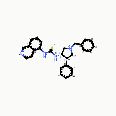 S=C(Nc1cccc2cnccc12)N[C@@H]1CN(Cc2ccccc2)C[C@H]1c1ccccc1